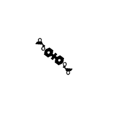 CC(C)(c1ccc(OC[C@@H]2CO2)cc1)c1ccc(OC[C@@H]2CO2)cc1